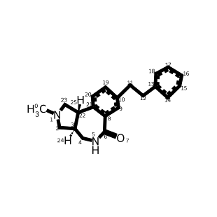 CN1C[C@@H]2CNC(=O)c3cc(CCc4ccccc4)ccc3[C@H]2C1